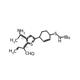 C=C/C(C=O)=c1/sc(C2C=CC(SNC(C)(C)C)CC2)c/c1=C(/C)N